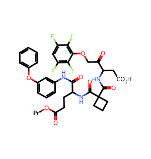 CC(C)OC(=O)CCC(NC(=O)C1(C(=O)NC(CC(=O)O)C(=O)COc2c(F)c(F)cc(F)c2F)CCC1)C(=O)Nc1cccc(Oc2ccccc2)c1